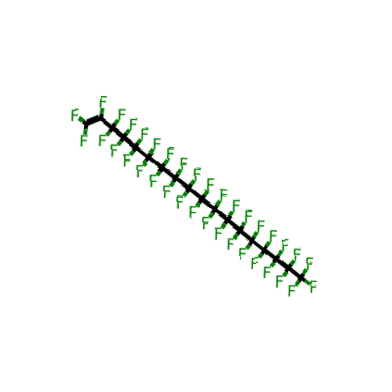 FC(F)=C(F)C(F)(F)C(F)(F)C(F)(F)C(F)(F)C(F)(F)C(F)(F)C(F)(F)C(F)(F)C(F)(F)C(F)(F)C(F)(F)C(F)(F)C(F)(F)C(F)(F)C(F)(F)C(F)(F)F